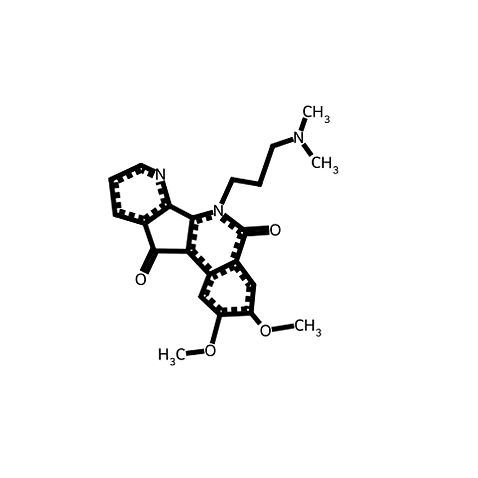 COc1cc2c3c(n(CCCN(C)C)c(=O)c2cc1OC)-c1ncccc1C3=O